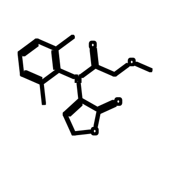 COCC(=O)N(C1=CCOC1=O)c1c(C)cccc1C